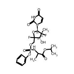 CC(C)OC(=O)C(C)NP(=O)(OCC1(F)O[C@@H](n2ccc(=O)[nH]c2=O)[C@](C)(F)[C@@H]1O)Oc1ccccc1